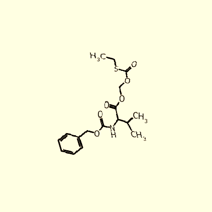 CCSC(=O)OCOC(=O)C(NC(=O)OCc1ccccc1)C(C)C